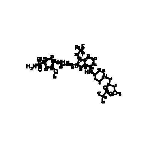 COCC(CN1CCC(Nc2cccc3c2cc(C#CCNc2ccc(S(N)(=O)=O)cc2OC)n3CC(F)(F)F)CC1)OC(=O)C(C)C